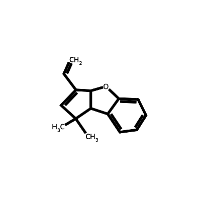 C=CC1=CC(C)(C)C2c3ccccc3OC12